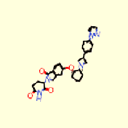 O=C1CCC(N2Cc3cc(O[C@@H]4CCCC[C@@H]4N4CC(c5ccc(-n6cccn6)cc5)C4)ccc3C2=O)C(=O)N1